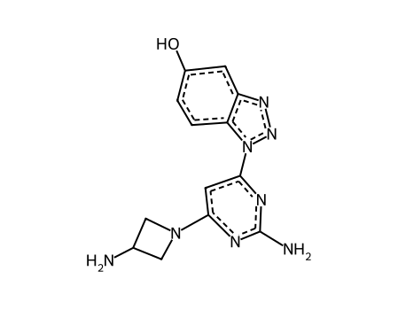 Nc1nc(N2CC(N)C2)cc(-n2nnc3cc(O)ccc32)n1